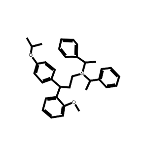 COc1ccccc1C(CCN(C(C)c1ccccc1)C(C)c1ccccc1)c1ccc(OC(C)C)cc1